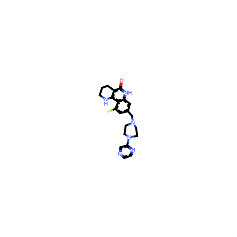 O=c1[nH]c2cc(CN3CCN(c4cnccn4)CC3)cc(F)c2c2c1CCCN2